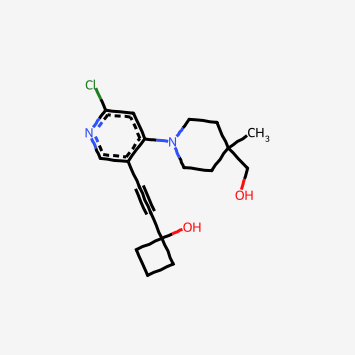 CC1(CO)CCN(c2cc(Cl)ncc2C#CC2(O)CCC2)CC1